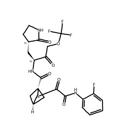 O=C(Nc1ccccc1F)C(=O)N1C[C@H]2C[C@]1(C(=O)N[C@@H](C[C@@H]1CCNC1=O)C(=O)COC(F)(F)F)C2